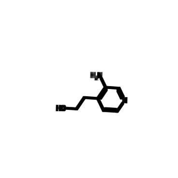 Nc1cnccc1CCO